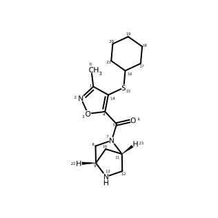 Cc1noc(C(=O)N2C[C@@H]3C[C@H]2CN3)c1SC1CCCCC1